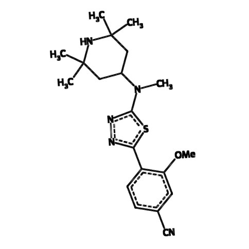 COc1cc(C#N)ccc1-c1nnc(N(C)C2CC(C)(C)NC(C)(C)C2)s1